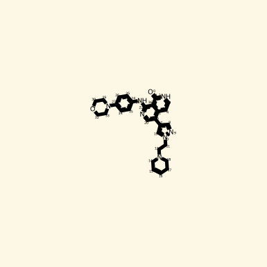 O=c1[nH]ccc2c(-c3cnn(CCN4CC=CCC4)c3)cnc(Nc3ccc(N4CCOCC4)cc3)c12